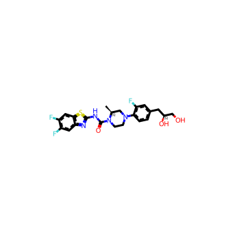 C[C@H]1CN(c2ccc(C[C@H](O)CO)cc2F)CCN1C(=O)Nc1nc2cc(F)c(F)cc2s1